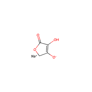 O=C1OCC([O-])=C1O.[Na+]